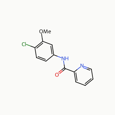 [11CH3]Oc1cc(NC(=O)c2ccccn2)ccc1Cl